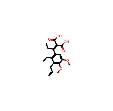 C=CCc1c(CC)c(C(CC)=C(C(=O)O)C(=O)O)cc(OC)c1OC